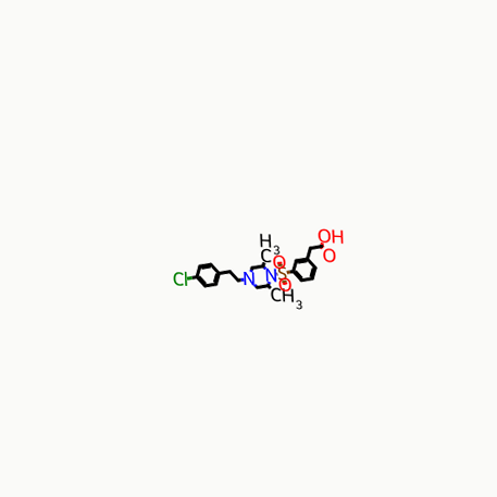 CC1CN(CCc2ccc(Cl)cc2)CC(C)N1S(=O)(=O)c1cccc(CC(=O)O)c1